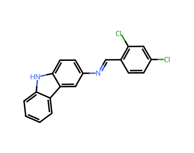 Clc1ccc(/C=N/c2ccc3[nH]c4ccccc4c3c2)c(Cl)c1